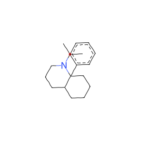 CC(C)N1CCCC2CCCCC21c1ccccc1